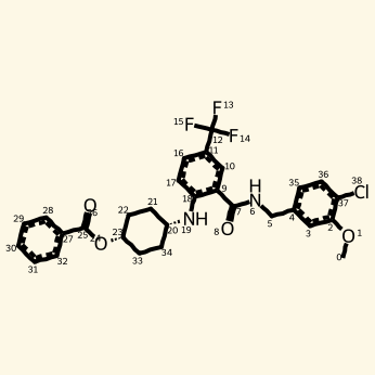 COc1cc(CNC(=O)c2cc(C(F)(F)F)ccc2N[C@H]2CC[C@@H](OC(=O)c3ccccc3)CC2)ccc1Cl